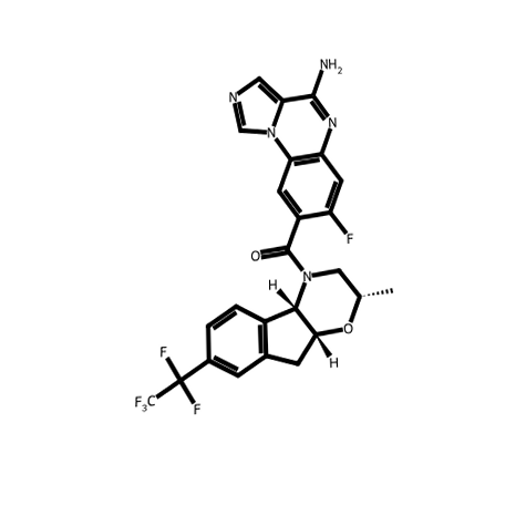 C[C@H]1CN(C(=O)c2cc3c(cc2F)nc(N)c2cncn23)[C@H]2c3ccc(C(F)(F)C(F)(F)F)cc3C[C@H]2O1